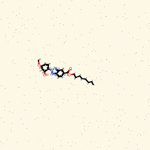 CCCCCCCCOC(=O)c1ccc2nn(-c3ccc(OC)cc3O)nc2c1